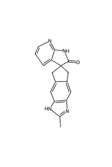 Cc1nc2cc3c(cc2[nH]1)CC1(C3)C(=O)Nc2ncccc21